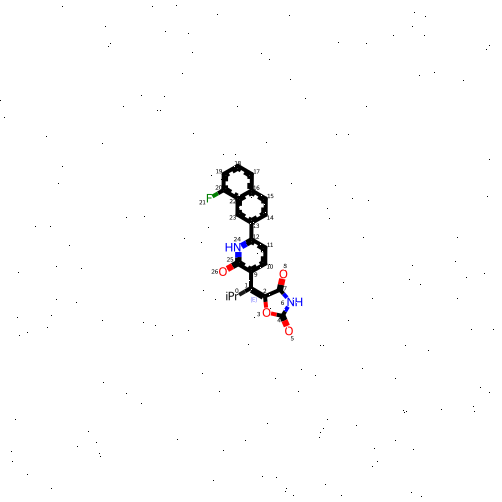 CC(C)/C(=C1\OC(=O)NC1=O)c1ccc(-c2ccc3cccc(F)c3c2)[nH]c1=O